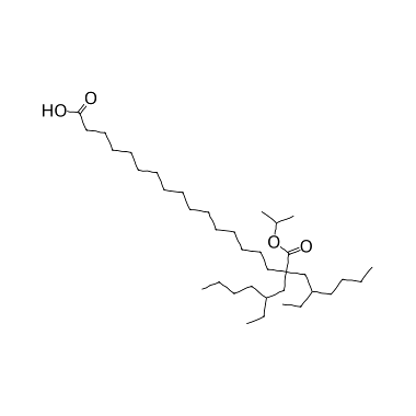 CCCCC(CC)CC(CCCCCCCCCCCCCCCC(=O)O)(CC(CC)CCCC)C(=O)OC(C)C